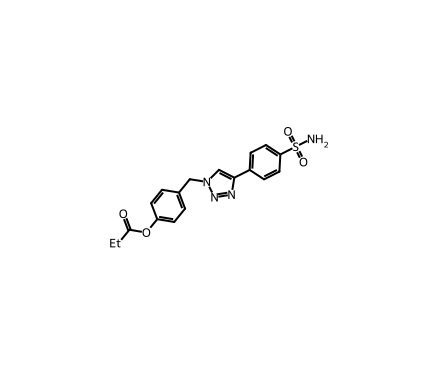 CCC(=O)Oc1ccc(Cn2cc(-c3ccc(S(N)(=O)=O)cc3)nn2)cc1